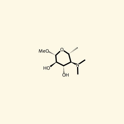 CO[C@@H]1O[C@H](C)[C@@H](N(C)C)[C@H](O)[C@H]1O